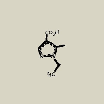 Cc1c(C(=O)O)cnn1CC#N